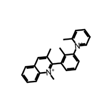 Cc1cc2ccccc2[n+](C)c1-c1cccc(-[n+]2ccccc2C)c1C